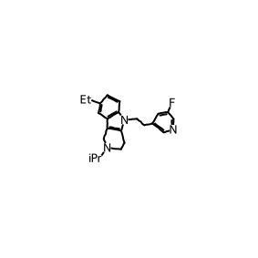 CCc1ccc2c(c1)c1c(n2CCc2cncc(F)c2)CCN(C(C)C)C1